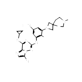 CN1CCC2(CC1)CN(c1cc(N)cc(Nc3nc(NC4CC4)c4ncc(N)n4n3)c1Cl)C2